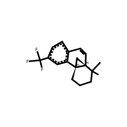 CC1(C)CCC[C@@]23C[C@@]12C=Cc1ccc(C(F)(F)F)cc13